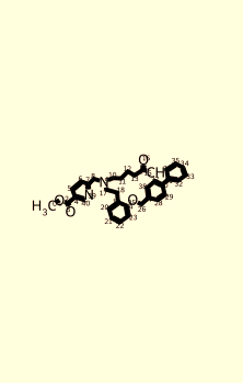 COC(=O)c1ccc(CN(CCCCC(C)=O)CCc2ccccc2OCc2ccc(-c3ccccc3)cc2)nc1